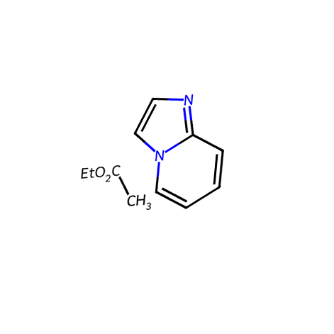 CCOC(C)=O.c1ccn2ccnc2c1